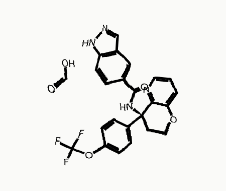 O=C(N[C@]1(c2ccc(OC(F)(F)F)cc2)CCOc2cccnc21)c1ccc2[nH]ncc2c1.O=CO